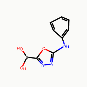 OB(O)c1nnc(Nc2ccccc2)o1